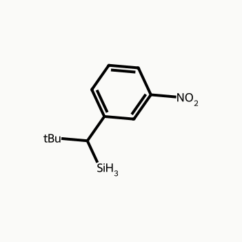 CC(C)(C)C([SiH3])c1cccc([N+](=O)[O-])c1